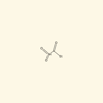 CCC(=O)[SH](=O)=O